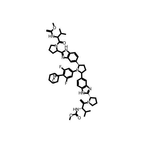 C=C(NC(C(=O)N1CCCC1c1nc2cc([C@H]3CCC(c4ccc5[nH]c([C@@H]6CCCN6C(=C)[C@@H](NC(=O)OC)C(C)C)nc5c4)N3c3cc(F)c(N4CC5CCC4CC5)c(F)c3)ccc2[nH]1)C(C)C)OC